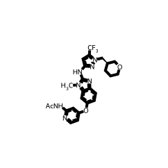 CC(=O)Nc1cc(Oc2ccc3nc(Nc4cc(C(F)(F)F)n(C[C@@H]5CCCOC5)n4)n(C)c3c2)ccn1